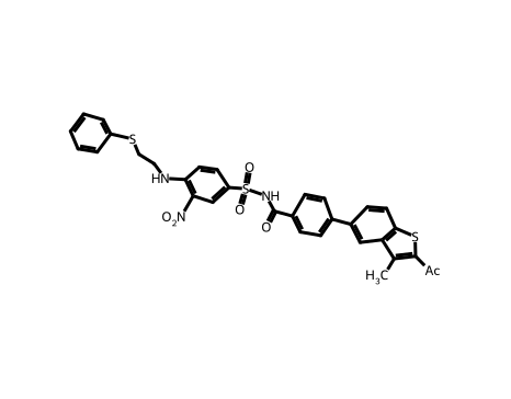 CC(=O)c1sc2ccc(-c3ccc(C(=O)NS(=O)(=O)c4ccc(NCCSc5ccccc5)c([N+](=O)[O-])c4)cc3)cc2c1C